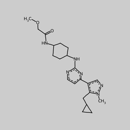 COCC(=O)NC1CCC(Nc2nccc(-c3cnn(C)c3CC3CC3)n2)CC1